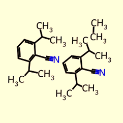 CC.CC(C)c1cccc(C(C)C)c1C#N.CC(C)c1cccc(C(C)C)c1C#N